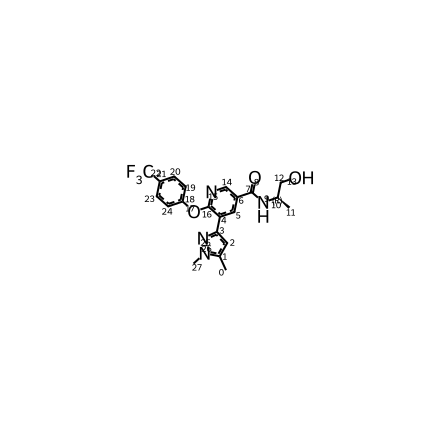 Cc1cc(-c2cc(C(=O)N[C@H](C)CO)cnc2Oc2ccc(C(F)(F)F)cc2)nn1C